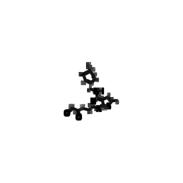 Cc1cc2c(NCc3ccc(F)cc3)nc(CCC(=O)C=O)nc2s1